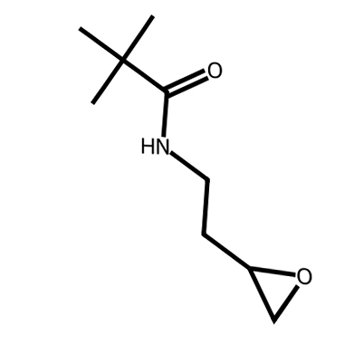 CC(C)(C)C(=O)NCCC1CO1